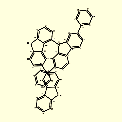 c1ccc(-c2ccc3c4ccc(-c5ccccc5)cc4n(-c4cccc5oc6ccc(-c7ccc8oc9ccccc9c8c7)cc6c45)c3c2)cc1